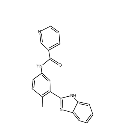 Cc1ccc(NC(=O)c2cccnc2)cc1-c1nc2ccccc2[nH]1